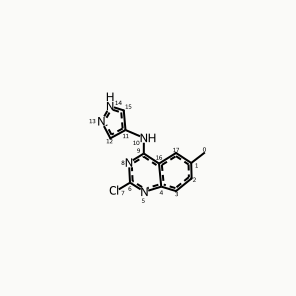 Cc1ccc2nc(Cl)nc(Nc3cn[nH]c3)c2c1